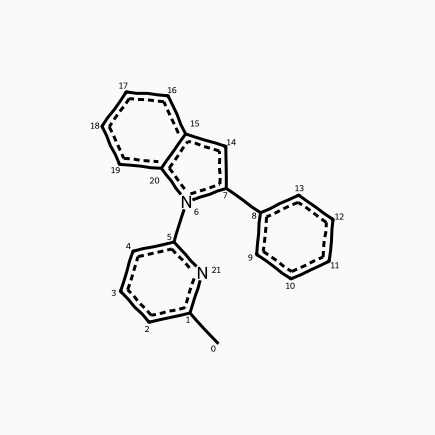 Cc1cccc(-n2c(-c3ccccc3)cc3ccccc32)n1